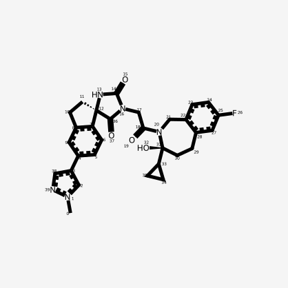 Cn1cc(-c2ccc3c(c2)CC[C@@]32NC(=O)N(CC(=O)N3Cc4ccc(F)cc4CC[C@]3(O)C3CC3)C2=O)cn1